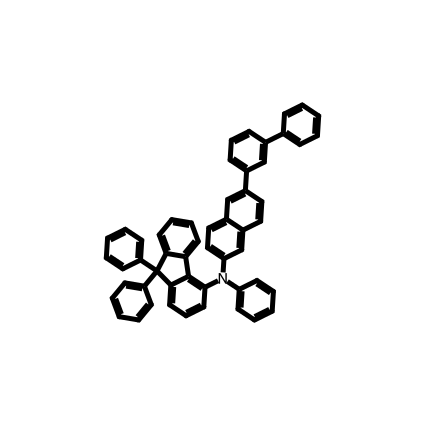 c1ccc(-c2cccc(-c3ccc4cc(N(c5ccccc5)c5cccc6c5-c5ccccc5C6(c5ccccc5)c5ccccc5)ccc4c3)c2)cc1